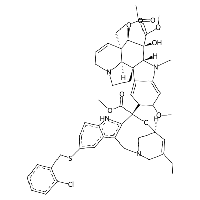 CCC1=C[C@H]2CN(C1)Cc1c([nH]c3ccc(SCc4ccccc4Cl)cc13)[C@@](C(=O)OC)(C1C=C3C(=CC1OC)N(C)[C@H]1[C@@](O)(C(=O)OC)[C@H](OC(C)=O)[C@]4(CC)C=CCN5CC[C@]31[C@@H]54)C2